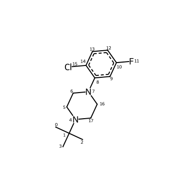 CC(C)(C)N1CCN(c2cc(F)ccc2Cl)CC1